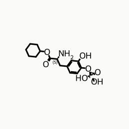 N[C@@H](Cc1ccc(OP(=O)(O)O)c(O)c1)C(=O)OC1CCCCC1